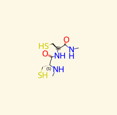 CNC(=O)[C@H](CS)NC(=O)[C@@H](CS)NC